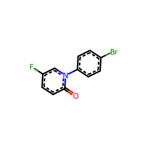 O=c1ccc(F)cn1-c1ccc(Br)cc1